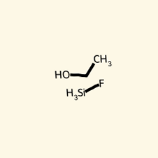 CCO.F[SiH3]